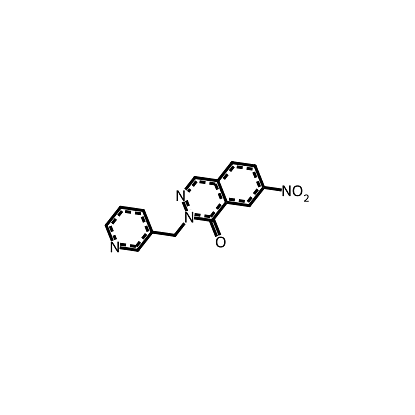 O=c1c2cc([N+](=O)[O-])ccc2cnn1Cc1cccnc1